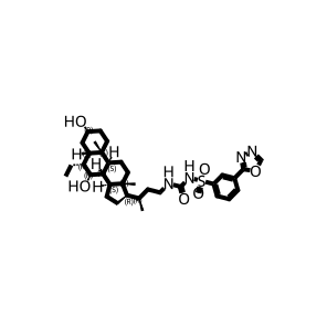 CC[C@H]1[C@@H](O)[C@@H]2[C@H](CC[C@]3(C)[C@@H]([C@H](C)CCNC(=O)NS(=O)(=O)c4cccc(-c5nnco5)c4)CC[C@@H]23)[C@@]2(C)CC[C@@H](O)C[C@@H]12